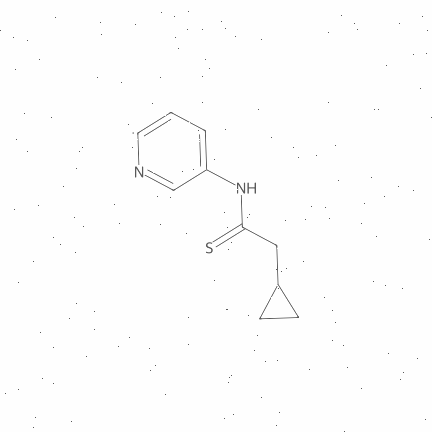 S=C(CC1CC1)Nc1cc[c]nc1